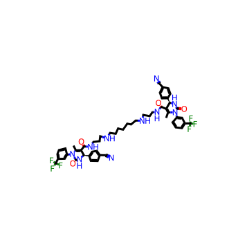 CC1=C(C(=O)NCCCNCCCCCCCNCCCNC(=O)C2=C(C)N(c3cccc(C(F)(F)F)c3)C(=O)N[C@@H]2c2ccc(C#N)cc2)[C@@H](c2ccc(C#N)cc2)NC(=O)N1c1cccc(C(F)(F)F)c1